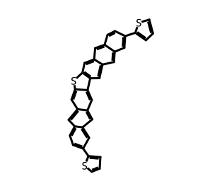 c1csc(-c2ccc3cc4cc5sc6cc7cc8ccc(-c9cccs9)cc8cc7cc6c5cc4cc3c2)c1